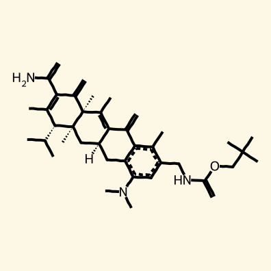 C=C(NCc1cc(N(C)C)c2c(c1C)C(=C)C1=C(C)[C@]3(C)C(=C)C(C(=C)N)=C(C)[C@@H](C(C)C)[C@]3(C)C[C@@H]1C2)OCC(C)(C)C